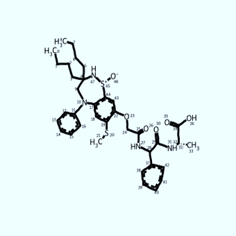 CCCCC1(CCCC)CN(c2ccccc2)c2cc(SC)c(OCC(=O)NC(C(=O)N[C@@H](C)C(=O)O)c3ccccc3)cc2[S+]([O-])N1